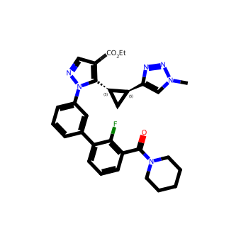 CCOC(=O)c1cnn(-c2cccc(-c3cccc(C(=O)N4CCCCC4)c3F)c2)c1[C@H]1C[C@@H]1c1cn(C)nn1